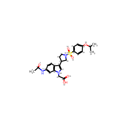 CC(=O)Nc1ccc2c(C3CCN(S(=O)(=O)c4ccc(OC(C)C)cc4)C3)cn(CC(=O)O)c2c1